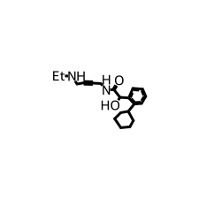 CCNCC#CCNC(=O)C(O)c1ccccc1C1CCCCC1